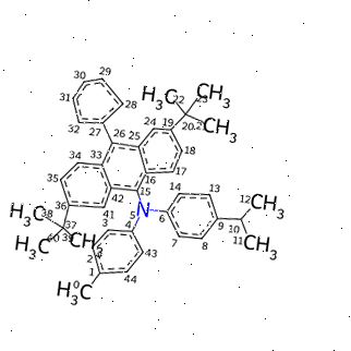 Cc1ccc(N(c2ccc(C(C)C)cc2)c2c3ccc(C(C)(C)C)cc3c(-c3ccccc3)c3ccc(C(C)(C)C)cc23)cc1